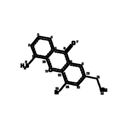 Bc1cccc2c(=O)c3cc(CC(C)(C)C)cc(Br)c3oc12